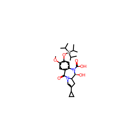 COc1cc2c(cc1O[Si](C(C)C)(C(C)C)C(C)C)N(C(=O)O)[C@@H](O)C1CC(C3CC3)=CN1C2=O